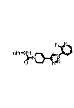 CCCNC(=O)N1CC=C(c2cn(-c3cccnc3F)nn2)CC1